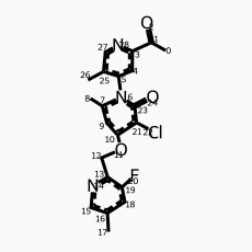 CC(=O)c1cc(-n2c(C)cc(OCc3ncc(C)cc3F)c(Cl)c2=O)c(C)cn1